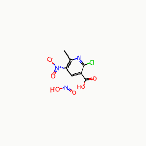 Cc1nc(Cl)c(C(=O)O)cc1[N+](=O)[O-].O=NO